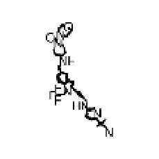 CC(C)(C#N)c1ccc(NCC#Cc2cc3cc(CNC4CCN(C(=O)N5CCOCC5)CC4)ccc3n2CC(F)(F)F)cn1